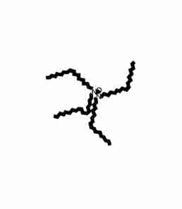 CCCCCCCC/C=C\CCCCCCCCN(CCCCCCCC/C=C\CCCCCCCC)C(=O)N(CCCCCCCC/C=C\CCCCCCCC)CCCCCCCC/C=C\CCCCCCCC